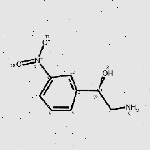 NC[C@H](O)c1cccc([N+](=O)[O-])c1